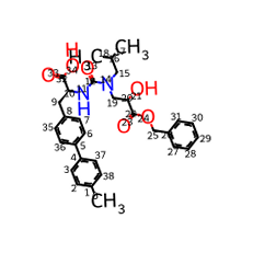 Cc1ccc(-c2ccc(C[C@H](NC(=O)N(CC(C)C)CC(O)C(=O)OCc3ccccc3)C(=O)O)cc2)cc1